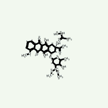 COc1cccc2c1C(=O)c1c(O)c3c(c(O)c1C2=O)C[C@@](O)(C(C)=O)C[C@@H]3OC1CC(N(OC)OC)C(O)C(C)O1.NC(=O)NO